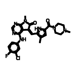 Cc1cc(C(=O)N2CCN(C)CC2)[nH]c1/C=C1\C(=O)N(C)c2ncnc(Nc3ccc(F)c(Cl)c3)c21